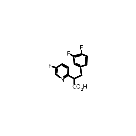 O=C(O)C(Cc1ccc(F)c(F)c1)c1ccc(F)cn1